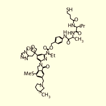 CCN(C(=O)OCc1ccc(NC(=O)C(C)NC(=O)C(NC(=O)CCCS)C(C)C)cc1)c1cc(C2(Cc3nncn3C)COC2)cc(N2Cc3c(SC)cc(CN4CCC[C@H](C)C4)cc3C2=O)n1